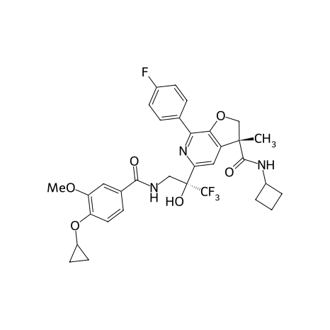 COc1cc(C(=O)NC[C@](O)(c2cc3c(c(-c4ccc(F)cc4)n2)OC[C@]3(C)C(=O)NC2CCC2)C(F)(F)F)ccc1OC1CC1